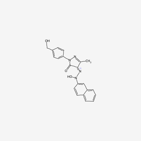 CC1=NN(c2ccc(CO)cc2)C(=O)/C1=N\N(O)c1ccc2ccccc2c1